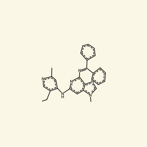 CCc1cnc(C)cc1Nc1cc2c(ncn2C)c(N=C(c2ccccc2)c2ccccc2)n1